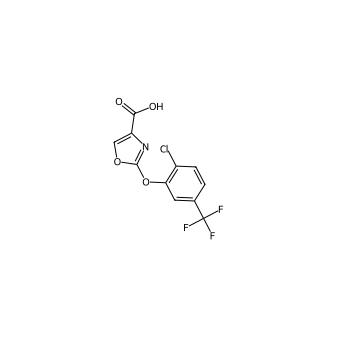 O=C(O)c1coc(Oc2cc(C(F)(F)F)ccc2Cl)n1